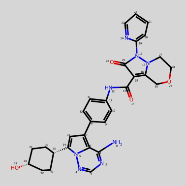 Nc1ncnn2c1c(-c1ccc(NC(=O)c3c4n(n(-c5ccccn5)c3=O)CCOC4)cc1)cc2[C@H]1CC[C@@H](O)CC1